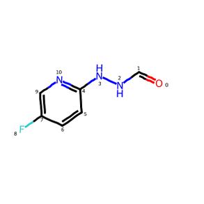 O=CNNc1ccc(F)cn1